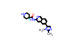 Cc1ncc(-c2ccc3cnc(NC(=O)C4(F)CCNCC4)cc3c2)n1C